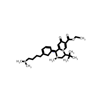 CCOC(=O)c1cn2c(cc1=O)/C(=C1\C=CC=C(CCCCN(C)C)C1)N(C)CC2C(C)(C)C